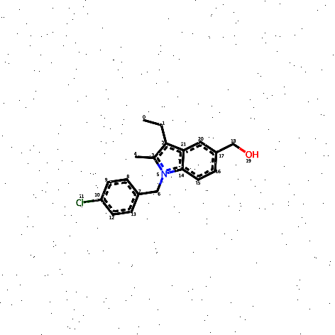 CCc1c(C)n(Cc2ccc(Cl)cc2)c2ccc(CO)cc12